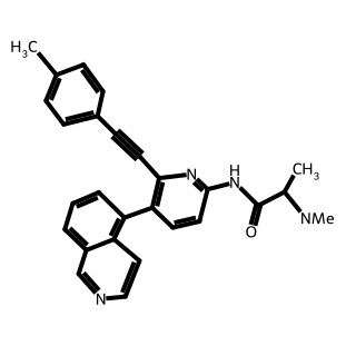 CNC(C)C(=O)Nc1ccc(-c2cccc3cnccc23)c(C#Cc2ccc(C)cc2)n1